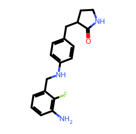 Nc1cccc(CNc2ccc(CC3CCNC3=O)cc2)c1F